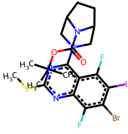 CSc1nc(N2CC3CCC(C2)N3C(=O)OC(C)(C)C)c2c(F)c(I)c(Br)c(F)c2n1